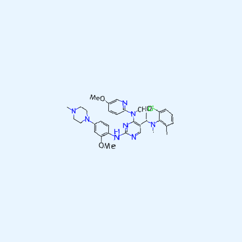 COc1ccc(N(C=O)c2nc(Nc3ccc(N4CCN(C)CC4)cc3OC)ncc2C(C)N(C)c2c(C)cccc2Cl)nc1